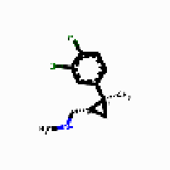 CNC[C@H]1C[C@]1(C)c1ccc(Cl)c(Cl)c1